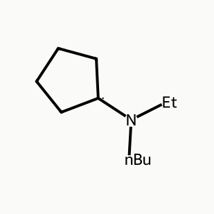 CCCCN(CC)[C]1CCCC1